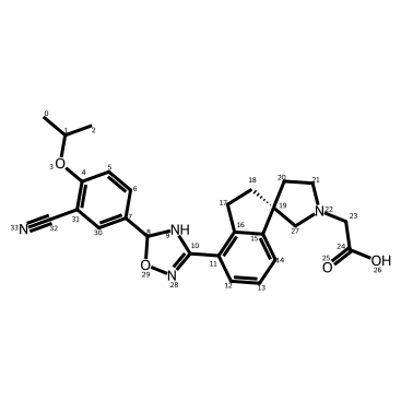 CC(C)Oc1ccc(C2NC(c3cccc4c3CC[C@@]43CCN(CC(=O)O)C3)=NO2)cc1C#N